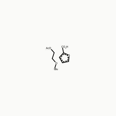 CC(=O)OCCOC(C)(C)C.O=C(O)c1cccs1